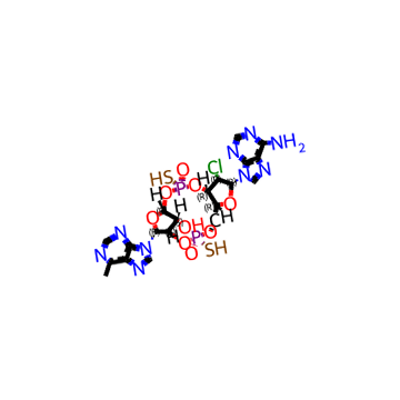 Cc1ncnc2c1ncn2[C@@H]1O[C@@H]2OP(=O)(S)O[C@H]3[C@@H](Cl)[C@H](n4cnc5c(N)ncnc54)O[C@@H]3COP(=O)(S)O[C@@H]1[C@@H]2O